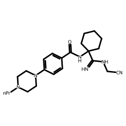 CCCN1CCN(c2ccc(C(=O)NC3(C(=N)NCC#N)CCCCC3)cc2)CC1